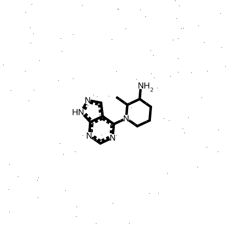 CC1C(N)CCCN1c1ncnc2[nH]ncc12